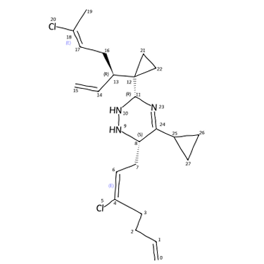 C=CCC/C(Cl)=C\C[C@@H]1NN[C@H](C2([C@@H](C=C)C/C=C(\C)Cl)CC2)N=C1C1CC1